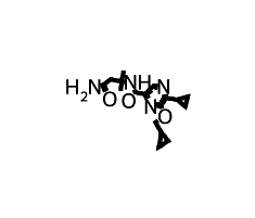 CC(C)(CC(N)=O)NC(=O)c1cnc(C2CC2)c(OCC2CC2)n1